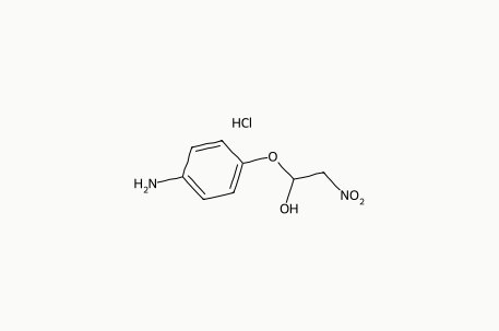 Cl.Nc1ccc(OC(O)C[N+](=O)[O-])cc1